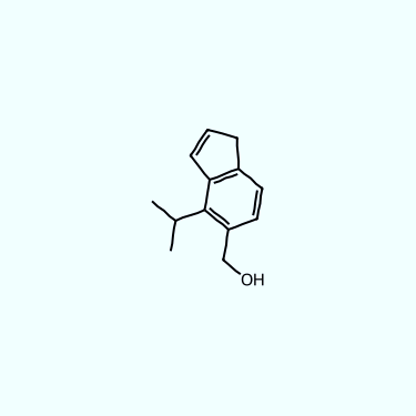 CC(C)c1c(CO)ccc2c1C=CC2